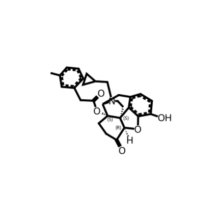 Cc1cccc(CC(=O)O[C@@]23CCC(=O)[C@@H]4Oc5c(O)ccc6c5[C@@]42CCN(CC2CC2)C3C6)c1